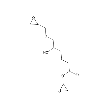 CCC(CCCC(O)COCC1CO1)OC1CO1